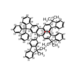 CC1(C)c2ccccc2-c2ccc(-c3cc4c(cc3N(c3ccc5c(c3)C(C)(C)c3ccccc3-5)c3ccc5c(c3)C(C)(C)c3ccccc3-5)C(c3ccccc3)(c3ccccc3)c3ccccc3-4)cc21